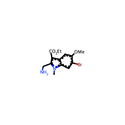 CCOC(=O)c1c(CN)n(C)c2cc(Br)c(OC)cc12